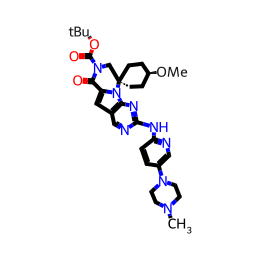 CO[C@H]1CC[C@@]2(CC1)CN(C(=O)OC(C)(C)C)C(=O)c1cc3cnc(Nc4ccc(N5CCN(C)CC5)cn4)nc3n12